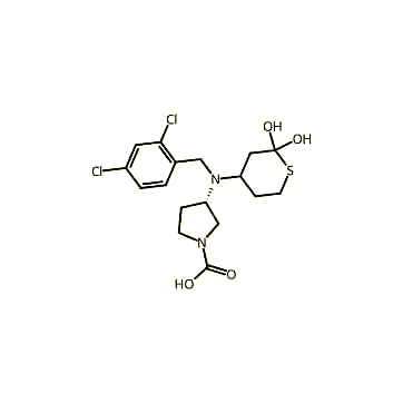 O=C(O)N1CC[C@H](N(Cc2ccc(Cl)cc2Cl)C2CCSC(O)(O)C2)C1